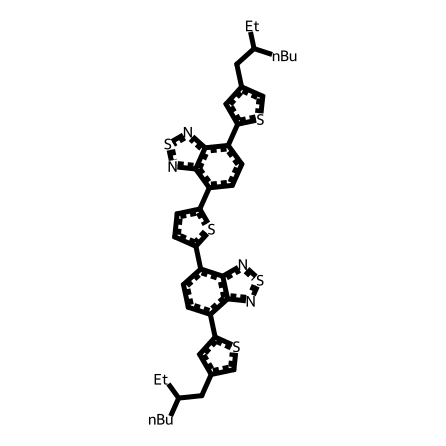 CCCCC(CC)Cc1csc(-c2ccc(-c3ccc(-c4ccc(-c5cc(CC(CC)CCCC)cs5)c5nsnc45)s3)c3nsnc23)c1